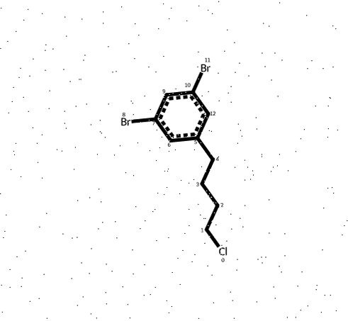 ClCCCCc1cc(Br)cc(Br)c1